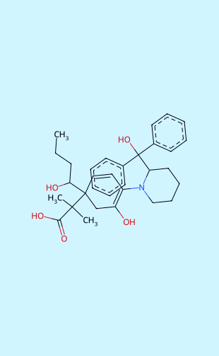 CCCC(O)C1(C(C)(C)C(=O)O)C=CC(N2CCCCC2C(O)(c2ccccc2)c2ccccc2)=C(O)C1